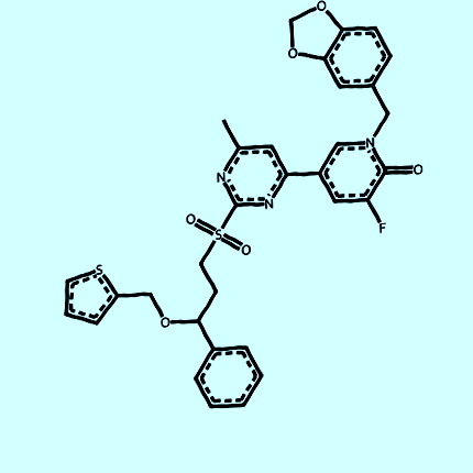 Cc1cc(-c2cc(F)c(=O)n(Cc3ccc4c(c3)OCO4)c2)nc(S(=O)(=O)CCC(OCc2cccs2)c2ccccc2)n1